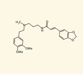 COc1ccc(CCN(C)CCCNC(=O)/C=C/c2ccc3c(c2)OCO3)cc1OC